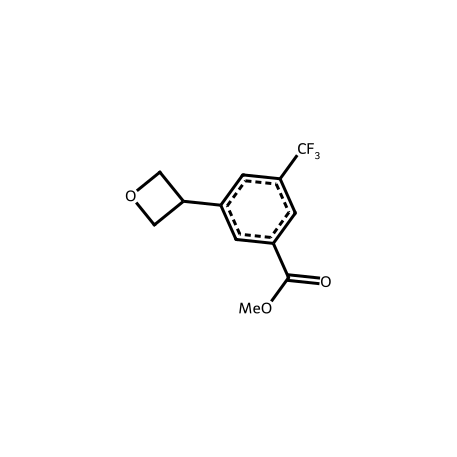 COC(=O)c1cc(C2COC2)cc(C(F)(F)F)c1